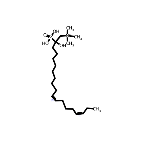 CC/C=C\CCC/C=C\CCCCCCCCC(O)(C[N+](C)(C)C)P(=O)(O)O